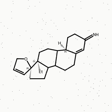 CC[C@]12CCC3C(CCC4=CC(=N)CC[C@@H]43)C1CC[C@@]21C=CCO1